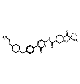 CC(C)(N)C(=O)N1CCN(C(=O)Nc2ccn(-c3ccc(CN4CCC(CCN)CC4)cc3)c(=O)n2)CC1